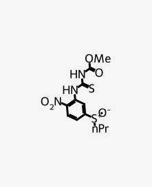 CCC[S+]([O-])c1ccc([N+](=O)[O-])c(NC(=S)NC(=O)OC)c1